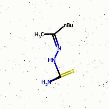 CCCCC(C)=NNC(N)=S